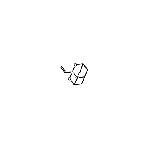 C=C[Si]12OC3CC(CC(C3)O1)O2